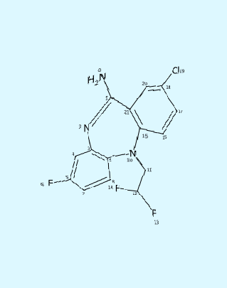 NC1=Nc2cc(F)ccc2N(CC(F)F)c2ccc(Cl)cc21